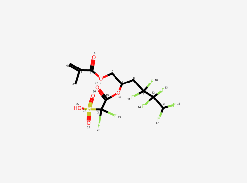 C=C(C)C(=O)OCC(CC(F)(F)C(F)(F)C(F)F)OC(=O)C(F)(F)S(=O)(=O)O